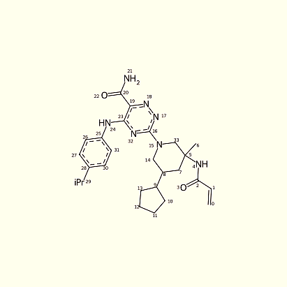 C=CC(=O)NC1(C)CC(C2CCCC2)CN(c2nnc(C(N)=O)c(Nc3ccc(C(C)C)cc3)n2)C1